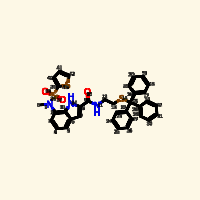 CN(c1cccc2cc(C(=O)NCCSC(c3ccccc3)(c3ccccc3)c3ccccc3)[nH]c12)S(=O)(=O)c1cccs1